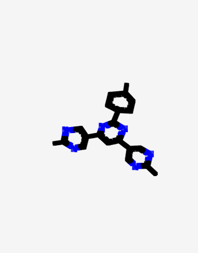 Cc1ccc(-c2nc(-c3cnc(C)nc3)cc(-c3cnc(C)nc3)n2)cc1